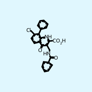 O=C(NCc1c(C(=O)O)[nH]c2c(-c3ccccc3)c(Cl)ccc2c1=O)c1ccccc1